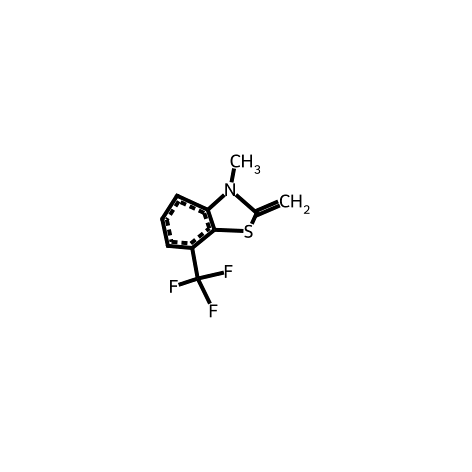 C=C1Sc2c(cccc2C(F)(F)F)N1C